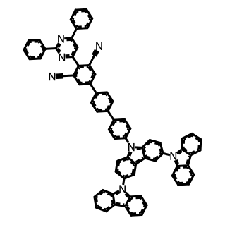 N#Cc1cc(-c2ccc(-c3ccc(-n4c5ccc(-n6c7ccccc7c7ccccc76)cc5c5cc(-n6c7ccccc7c7ccccc76)ccc54)cc3)cc2)cc(C#N)c1-c1cc(-c2ccccc2)nc(-c2ccccc2)n1